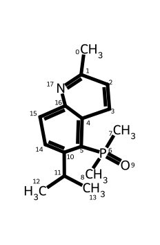 Cc1ccc2c(P(C)(C)=O)c(C(C)C)ccc2n1